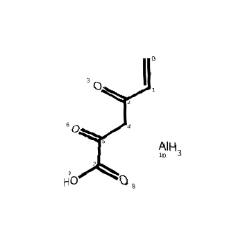 C=CC(=O)CC(=O)C(=O)O.[AlH3]